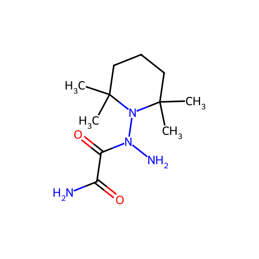 CC1(C)CCCC(C)(C)N1N(N)C(=O)C(N)=O